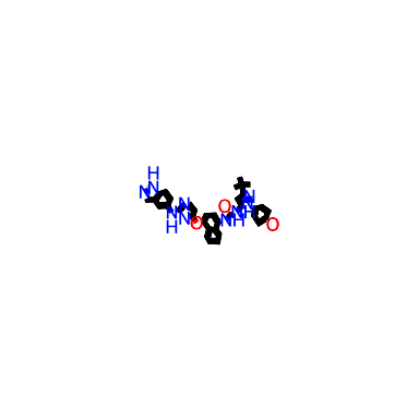 COc1ccc(-n2nc(C(C)(C)C)cc2NC(=O)Nc2ccc(Oc3ccnc(Nc4ccc5[nH]ncc5c4)n3)c3ccccc23)cc1